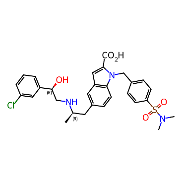 C[C@H](Cc1ccc2c(c1)cc(C(=O)O)n2Cc1ccc(S(=O)(=O)N(C)C)cc1)NC[C@H](O)c1cccc(Cl)c1